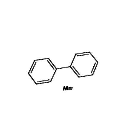 [Mn].c1ccc(-c2ccccc2)cc1